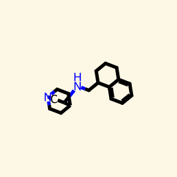 c1ccc2c(c1)CCCC2CNC1CN2CCC1CC2